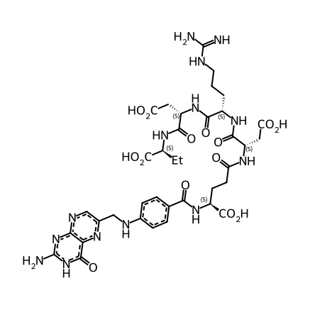 CC[C@H](NC(=O)[C@H](CC(=O)O)NC(=O)[C@H](CCCNC(=N)N)NC(=O)[C@H](CC(=O)O)NC(=O)CC[C@H](NC(=O)c1ccc(NCc2cnc3nc(N)[nH]c(=O)c3n2)cc1)C(=O)O)C(=O)O